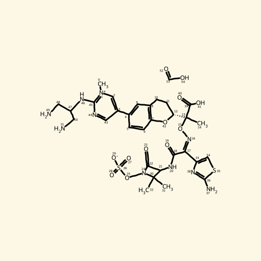 C[n+]1cc(-c2ccc3c(c2)CC[C@H](C(C)(O/N=C(\C(=O)NC2C(=O)N(OS(=O)(=O)[O-])C2(C)C)c2csc(N)n2)C(=O)O)O3)cnc1NC(CN)CN.O=CO